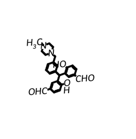 CN1CCN(Cc2cccc(C(c3cc(C=O)ccc3O)c3cc(C=O)ccc3O)c2)CC1